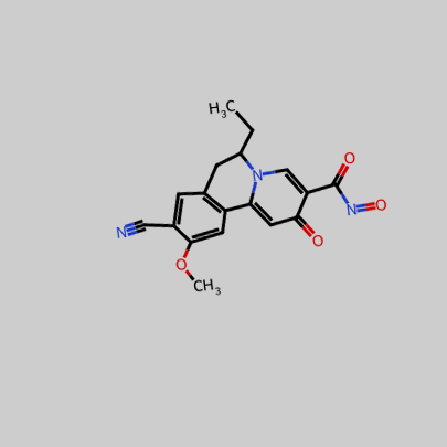 CCC1Cc2cc(C#N)c(OC)cc2-c2cc(=O)c(C(=O)N=O)cn21